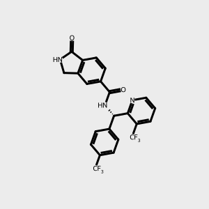 O=C(N[C@@H](c1ccc(C(F)(F)F)cc1)c1ncccc1C(F)(F)F)c1ccc2c(c1)CNC2=O